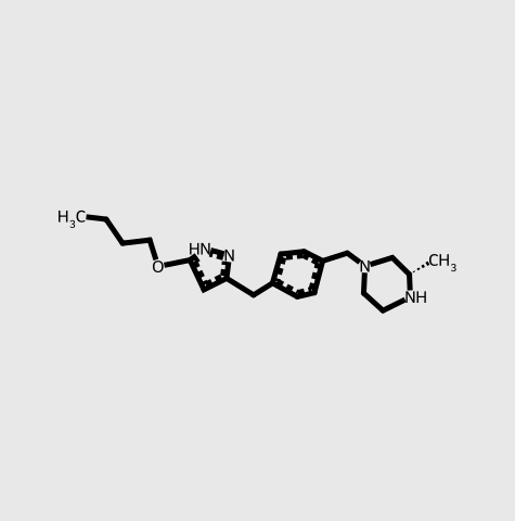 CCCCOc1cc(Cc2ccc(CN3CCN[C@@H](C)C3)cc2)n[nH]1